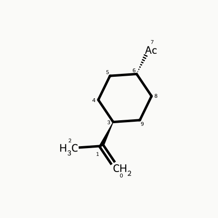 C=C(C)[C@H]1CC[C@H](C(C)=O)CC1